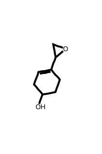 OC1CC=C(C2CO2)CC1